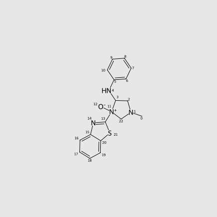 CN1CC(Nc2ccccc2)[N+]([O-])(c2nc3ccccc3s2)C1